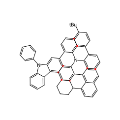 CC(C)(C)c1ccc(-c2ccccc2N(c2ccccc2-c2ccc3c4ccccc4n(-c4ccccc4)c3c2)c2ccccc2-c2cccc3cccc(C4CCCCC4)c23)cc1